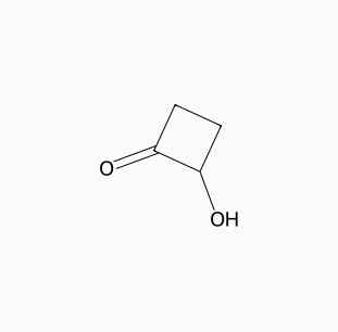 O=C1CCC1O